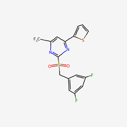 O=S(=O)(Cc1cc(F)cc(F)c1)c1nc(-c2cccs2)cc(C(F)(F)F)n1